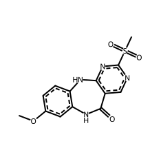 COc1ccc2c(c1)NC(=O)c1cnc(S(C)(=O)=O)nc1N2